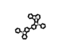 c1ccc(-n2c3ccccc3c3cc(-c4ccc5c(c4)c4c(c6cccc7c8ccccc8c4n76)n5-c4ccccc4)ccc32)cc1